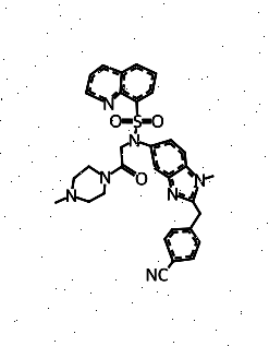 CN1CCN(C(=O)CN(c2ccc3c(c2)nc(Cc2ccc(C#N)cc2)n3C)S(=O)(=O)c2cccc3cccnc23)CC1